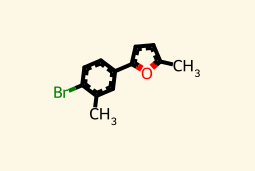 Cc1ccc(-c2ccc(Br)c(C)c2)o1